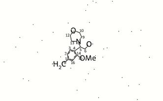 [CH2]c1ccc(C(C[O])N2CCOCC2)c(OC)c1